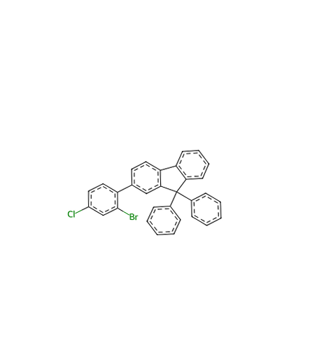 Clc1ccc(-c2ccc3c(c2)C(c2ccccc2)(c2ccccc2)c2ccccc2-3)c(Br)c1